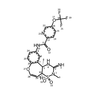 CN1C(=N)N[C@]2(C)c3cc(NC(=O)c4ccc(OC(F)(F)F)cn4)ccc3OC=C[C@@H]2S1(=O)=O